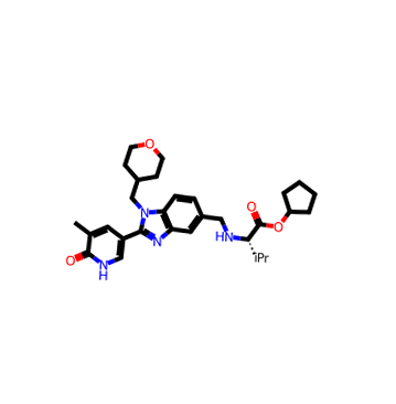 Cc1cc(-c2nc3cc(CN[C@H](C(=O)OC4CCCC4)C(C)C)ccc3n2CC2CCOCC2)c[nH]c1=O